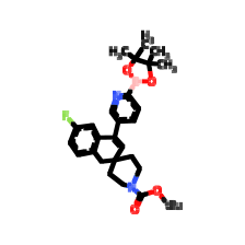 CC(C)(C)OC(=O)N1CCC2(C=C(c3ccc(B4OC(C)(C)C(C)(C)O4)nc3)c3cc(F)ccc3C2)CC1